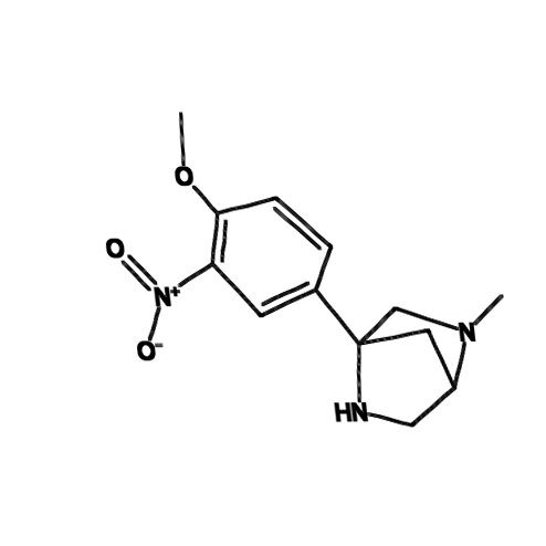 COc1ccc(C23CC(CN2)N(C)C3)cc1[N+](=O)[O-]